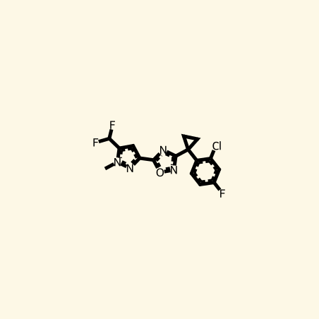 Cn1nc(-c2nc(C3(c4ccc(F)cc4Cl)CC3)no2)cc1C(F)F